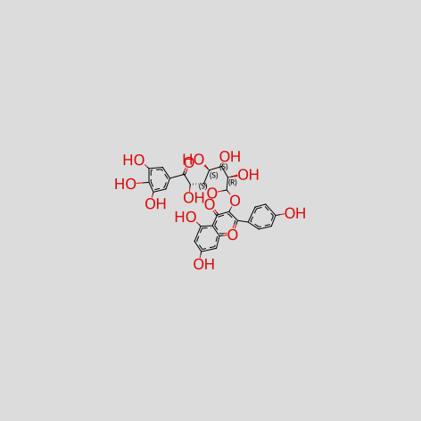 O=C(c1cc(O)c(O)c(O)c1)C(O)[C@H]1OC(Oc2c(-c3ccc(O)cc3)oc3cc(O)cc(O)c3c2=O)[C@H](O)[C@@H](O)[C@@H]1O